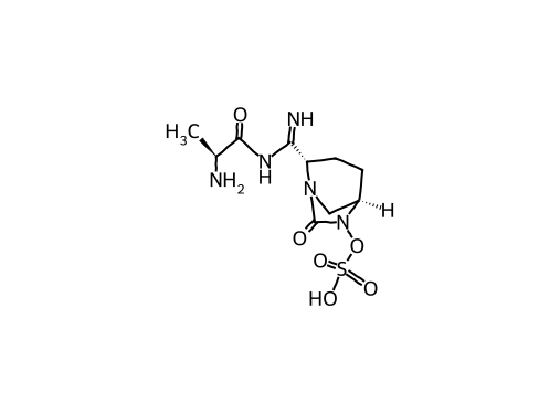 C[C@H](N)C(=O)NC(=N)[C@@H]1CC[C@@H]2CN1C(=O)N2OS(=O)(=O)O